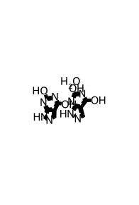 O.Oc1nc(O)c2cn[nH]c2n1.Oc1nc(O)c2cn[nH]c2n1